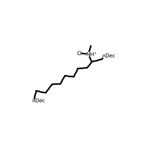 CCCCCCCCCCCCCCCCCCC(CCCCCCCCCCC)[NH+](C)[O-]